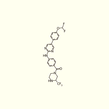 O=C(c1ccc(Nc2ncc(-c3ccc(OC(F)F)cc3)cn2)cc1)N1CCNC(C(F)(F)F)C1